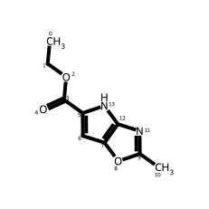 CCOC(=O)c1cc2oc(C)nc2[nH]1